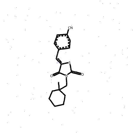 CC1(CN2C(=O)S/C(=C\c3ccc(C#N)cc3)C2=O)CCCCC1